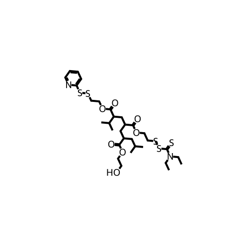 CCN(CC)C(=S)SSCCOC(=O)C(CC(CC(C)C)C(=O)OCCO)CC(C(=O)OCCSSc1ccccn1)C(C)C